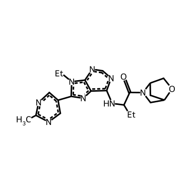 CCC(Nc1ncnc2c1nc(-c1cnc(C)nc1)n2CC)C(=O)N1CC2CC1CO2